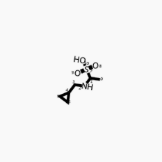 CC(NCC1CC1)S(=O)(=O)O